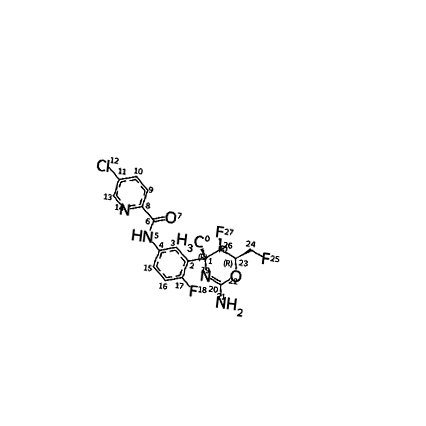 C[C@]1(c2cc(NC(=O)c3ccc(Cl)cn3)ccc2F)N=C(N)O[C@H](CF)[C@@H]1F